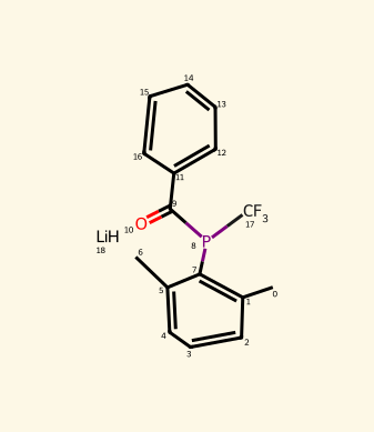 Cc1cccc(C)c1P(C(=O)c1ccccc1)C(F)(F)F.[LiH]